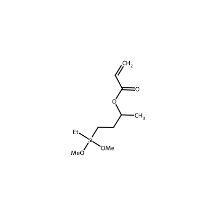 C=CC(=O)OC(C)CC[Si](CC)(OC)OC